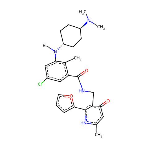 CCN(c1cc(Cl)cc(C(=O)NCc2c(-c3ccco3)[nH]c(C)cc2=O)c1C)[C@H]1CC[C@H](N(C)C)CC1